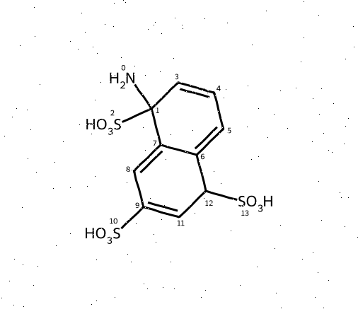 NC1(S(=O)(=O)O)C=CC=C2C1=CC(S(=O)(=O)O)=CC2S(=O)(=O)O